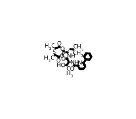 CC(C)C[C@H](NC(=O)[C@@H](NC(=O)c1cccc(-c2ccccc2)n1)[C@@H](C)O)B1OC(=O)[C@@H](C)S[C@H](C)C(=O)O1